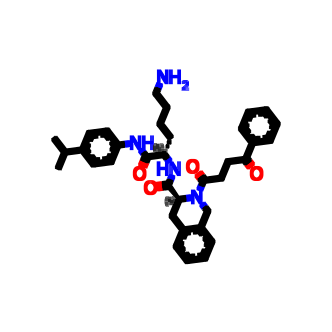 CC(C)c1ccc(NC(=O)[C@H](CCCCN)NC(=O)[C@@H]2Cc3ccccc3CN2C(=O)CCC(=O)c2ccccc2)cc1